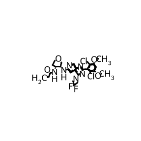 C=CC(=O)N[C@H]1CCOC[C@H]1Nc1cc2c(N3CC(F)(F)C3)nc(-c3c(Cl)c(OC)cc(OC)c3Cl)nc2cn1